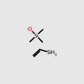 C=C[SiH3].C[Si](C)(C)[O]